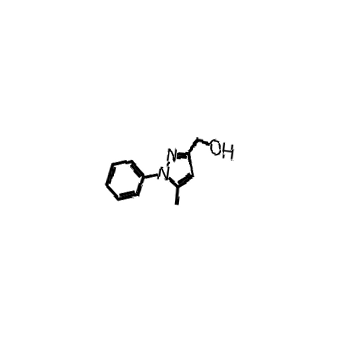 Cc1cc(CO)nn1-c1ccccc1